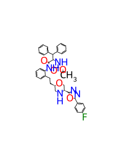 COC(=O)NC(C(=O)Nc1ccccc1CC[C@@H]1CN[C@H](c2nnc(-c3ccc(F)cc3)o2)CO1)C(c1ccccc1)c1ccccc1